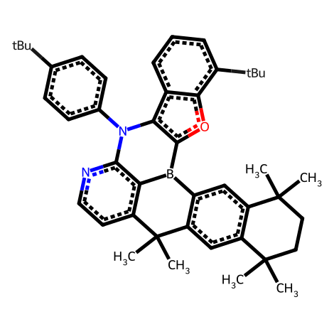 CC(C)(C)c1ccc(N2c3nccc4c3B(c3cc5c(cc3C4(C)C)C(C)(C)CCC5(C)C)c3oc4c(C(C)(C)C)cccc4c32)cc1